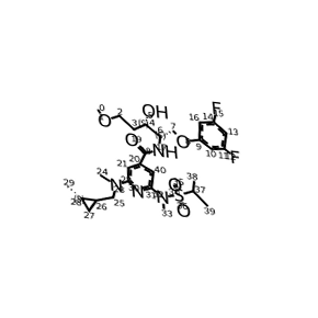 COCC[C@H](O)[C@H](COc1cc(F)cc(F)c1)NC(=O)c1cc(N(C)CC2C[C@@H]2C)nc(N(C)S(=O)(=O)C(C)C)c1